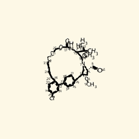 CO[C@@]12C[C@@H](C=O)N(C1)C(=O)[C@H](C(C)(C)C)NC(=O)OCCCCCCc1ccc(Cl)cc1-c1ccc2cc1